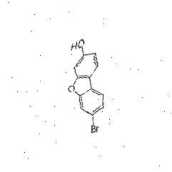 Oc1ccc2c(c1)oc1cc(Br)ccc12